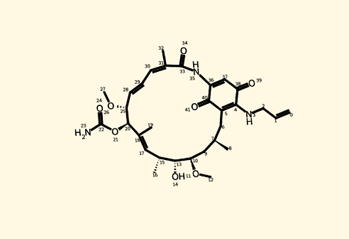 C=CCNC1=C2C[C@@H](C)C[C@@H](OC)[C@H](O)[C@H](C)/C=C(\C)[C@@H](OC(N)=O)[C@H](OC)/C=C/C=C(/C)C(=O)NC(=CC1=O)C2=O